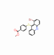 COC(=O)c1ccc(Sc2c3ccccc3nc3cccc(Br)c23)cc1